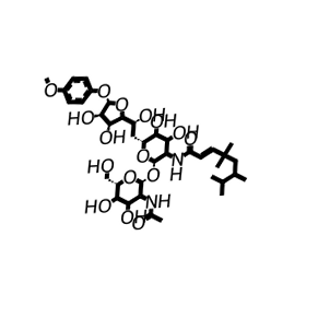 COc1ccc(O[C@@H]2OC([C@H](O)C[C@H]3O[C@@H](O[C@H]4O[C@@H](CO)C(O)C(O)C4NC(C)=O)C(NC(=O)/C=C/C(C)(C)CC(C)C(C)C)C(O)C3O)[C@@H](O)[C@H]2O)cc1